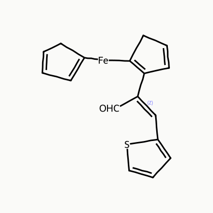 O=C/C(=C\c1cccs1)C1=[C]([Fe][C]2=CC=CC2)CC=C1